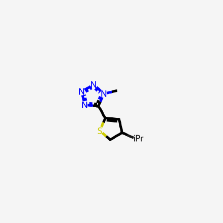 CC(C)[C]1C=C(c2nnnn2C)SC1